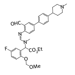 CCOC(=O)C(c1cc(F)ccc1OCOC)N(C)/C=N\c1ccc(-c2ccc(C3CCN(C)CC3)cc2)cc1C=O